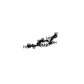 COc1cc(/C=C/C(=O)OCCON(O)O)ccc1OC(=O)C(C)NC(=O)CCC/C=C\C[C@@H]1[C@@H](/C=C/[C@@H](O)COc2cccc(Cl)c2)[C@H](O)C[C@@H]1O